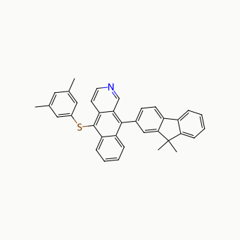 Cc1cc(C)cc(Sc2c3ccccc3c(-c3ccc4c(c3)C(C)(C)c3ccccc3-4)c3cnccc23)c1